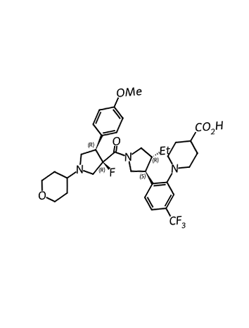 CC[C@H]1CN(C(=O)[C@]2(F)CN(C3CCOCC3)C[C@H]2c2ccc(OC)cc2)C[C@@H]1c1ccc(C(F)(F)F)cc1N1CCC(C(=O)O)CC1